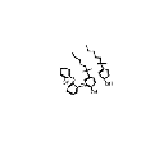 CCCCCC(C)(C)c1ccc(O)cc1.CCCCCC(C)(C)c1ccc(O)cc1.Oc1ccccc1Sc1ccccc1O